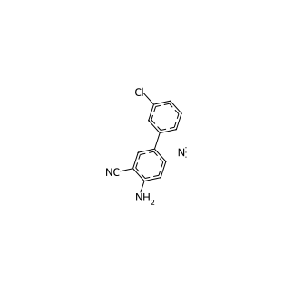 N#Cc1cc(-c2cccc(Cl)c2)ccc1N.[N]